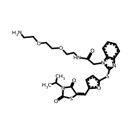 CC(C)N1C(=O)SC(=Cc2ccc(Sc3nc4ccccc4n3CC(=O)NCCOCCOCCN)o2)C1=O